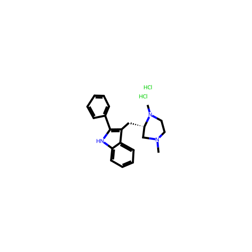 CN1CCN(C)[C@@H](Cc2c(-c3ccccc3)[nH]c3ccccc23)C1.Cl.Cl